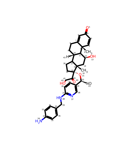 C[C@]12C=CC(=O)C=C1CC[C@@H]1C2[C@@H](O)C[C@@]2(C)C1CC[C@]2(O[C@@H](N=O)c1ccc(NCc2ccc(N)cc2)nc1)C(=O)CO